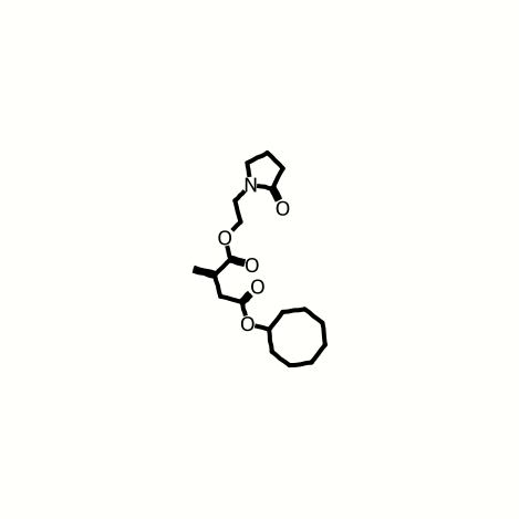 C=C(CC(=O)OC1CCCCCCC1)C(=O)OCCN1CCCC1=O